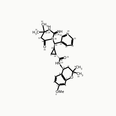 COc1ccc2c(c1)OC(C)(C)C[C@@H]2NC(=O)[C@@H]1CC1[C@H](c1cccnc1)N1C(=N)NC(C)(C)CC1=O